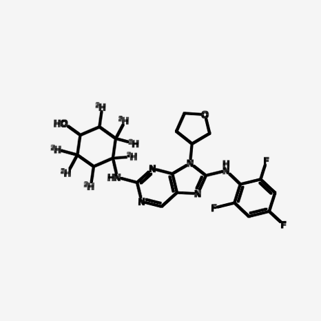 [2H]C1C(O)C([2H])([2H])C([2H])C([2H])(Nc2ncc3nc(Nc4c(F)cc(F)cc4F)n(C4CCOC4)c3n2)C1([2H])[2H]